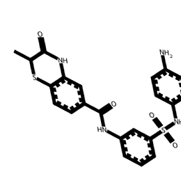 CC1Sc2ccc(C(=O)Nc3cccc(S(=O)(=O)Nc4ccc(N)cc4)c3)cc2NC1=O